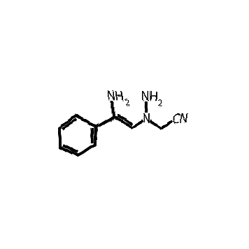 N#CCN(N)/C=C(\N)c1ccccc1